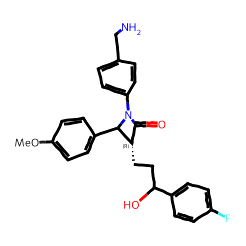 COc1ccc(C2[C@@H](CCC(O)c3ccc(F)cc3)C(=O)N2c2ccc(CN)cc2)cc1